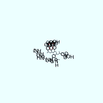 Cc1ccc(-c2ccc(C3C=C/C(=c4/cc/c(=C5/C=CC(c6ccc(C)[nH]6)N5)[nH]4)N3)n2Cc2ccc(C(CC(C)c3ccc(S(=O)(=O)O)cc3)CC(CC(CC(C)c3ccc(S(=O)(=O)O)cc3)c3ccc(S(=O)(=O)O)cc3)c3ccc(S(=O)(=O)O)cc3)cc2)[nH]1